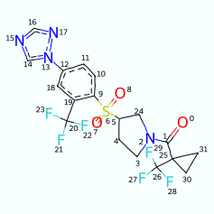 O=C(N1CCC(S(=O)(=O)c2ccc(-n3cncn3)cc2C(F)(F)F)C1)C1(C(F)(F)F)CC1